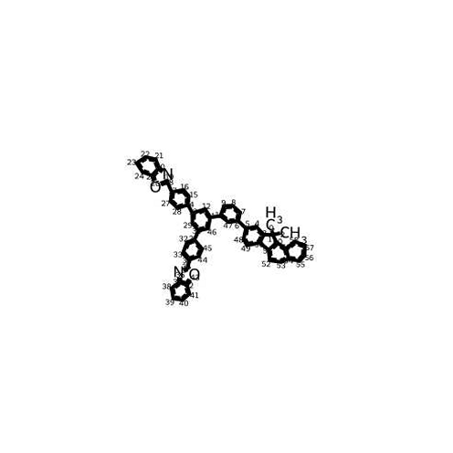 CC1(C)c2cc(-c3cccc(-c4cc(-c5ccc(-c6nc7ccccc7o6)cc5)cc(-c5ccc(-c6nc7ccccc7o6)cc5)c4)c3)ccc2-c2ccc3ccccc3c21